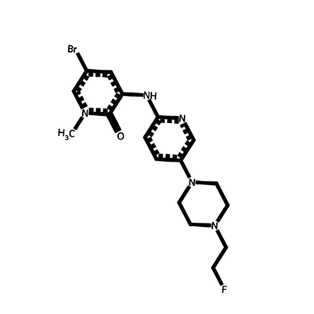 Cn1cc(Br)cc(Nc2ccc(N3CCN(CCF)CC3)cn2)c1=O